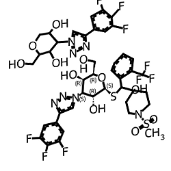 CS(=O)(=O)N1CCC(O)(C(S[C@@H]2O[C@H](CO)[C@H](O)[C@H](n3cc(-c4cc(F)c(F)c(F)c4)nn3)[C@H]2O)c2ccccc2C(F)(F)F)CC1.OCC1OCC(O)C(n2cc(-c3cc(F)c(F)c(F)c3)nn2)C1O